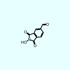 O=Cc1ccc2c(c1)C(=O)N(O)C2=O